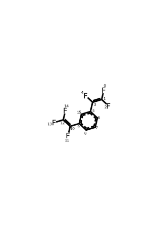 FC(F)=C(F)c1cccc(C(F)=C(F)F)c1